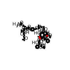 CC(=O)OCN[C@@]12C3CO[C@@H]3C[C@H](OC(=O)N(C)CCN(C)C(=O)OCc3ccc(NC(=O)[C@H](CCCNC(N)=O)NC(=O)[C@@H](NC(=O)CCC(=O)C(C)C)C(C)C)cc3)[C@@]1(C)C(=O)[C@H](O)C1=C(C)[C@@H](OC(=O)[C@H](O)C(NC(=O)OC(C)(C)C)c3ccccc3)C[C@@](O)([C@H]2OC(=O)c2ccccc2)C1(C)C